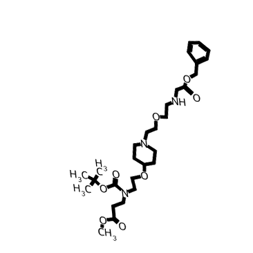 COC(=O)CCN(CCOC1CCN(CCOCCNCC(=O)OCc2ccccc2)CC1)C(=O)OC(C)(C)C